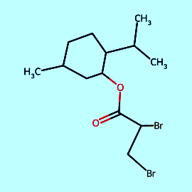 CC1CCC(C(C)C)C(OC(=O)C(Br)CBr)C1